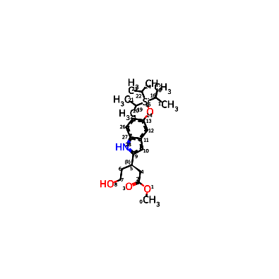 COC(=O)C[C@@H](CCO)c1cc2cc(O[Si](C(C)C)(C(C)C)C(C)C)ccc2[nH]1